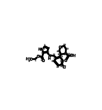 CCOC(=O)c1[nH]ccc1NCc1ccc(Cl)cc1C1COCCN1C(=O)O